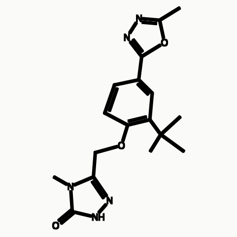 Cc1nnc(-c2ccc(OCc3n[nH]c(=O)n3C)c(C(C)(C)C)c2)o1